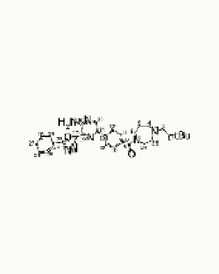 CC(C)(C)CCN1CCCN(C(=O)c2ccc(-c3cnc(N)c(-c4nnc(-c5ccccc5)o4)n3)cc2)CC1